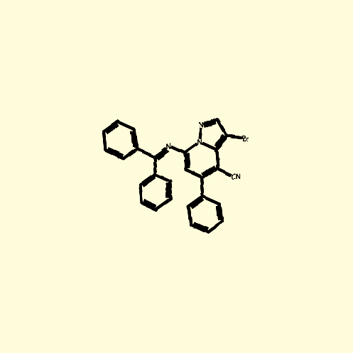 N#Cc1c(-c2ccccc2)cc(N=C(c2ccccc2)c2ccccc2)n2ncc(Br)c12